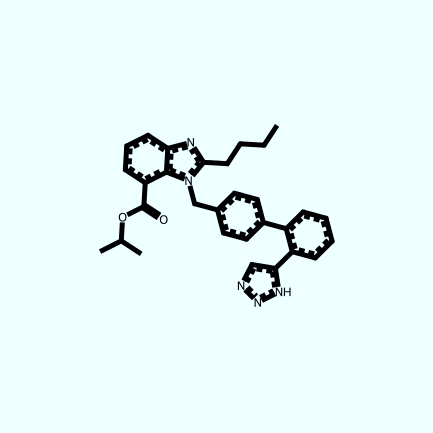 CCCCc1nc2cccc(C(=O)OC(C)C)c2n1Cc1ccc(-c2ccccc2-c2cnn[nH]2)cc1